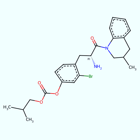 CC(C)COC(=O)Oc1ccc(C[C@@H](N)C(=O)N2CC(C)Cc3ccccc32)c(Br)c1